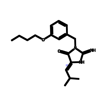 CCCCOc1cccc(CN2C(=N)N/C(=C\C(C)C)C2=O)c1